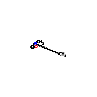 CCCCCCCCCCCCCCCCCC(=O)N(CC)Cc1ccccc1